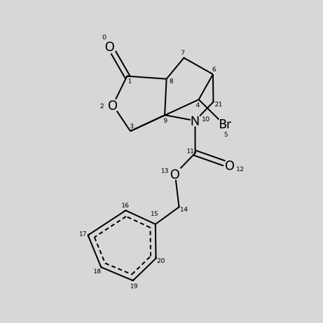 O=C1OC2C(Br)C3CC1C2N(C(=O)OCc1ccccc1)C3